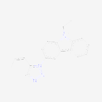 C/C=C\c1cnnn1-c1ccc2c(c1)c1ccccc1n2CC